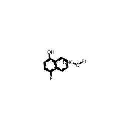 CCOC=O.Oc1ccc(F)c2ccccc12